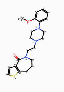 COc1ccccc1N1CCN(CCN2CCCc3sccc3C2=O)CC1